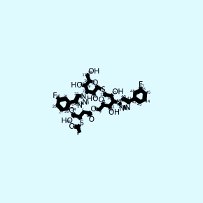 CC(=O)SC(CC(=O)OCC1OC(SC2OC(CO)C(O)C(n3cc(-c4cccc(F)c4)nn3)C2O)C(O)C(n2cc(-c3cccc(F)c3)nn2)C1O)C(=O)O